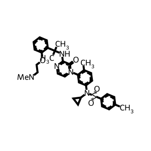 CNCCOc1ccccc1C(C)(C)Nc1nccn(-c2cc(N(C3CC3)S(=O)(=O)c3ccc(C)cc3)ccc2C)c1=O